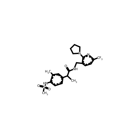 Cc1cc(C(C)C(=O)NCc2ccc(C(F)(F)F)nc2N2CCCC2)ccc1NS(C)(=O)=O